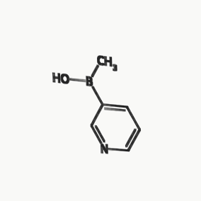 CB(O)c1cccnc1